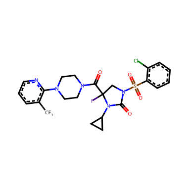 O=C1N(C2CC2)C(I)(C(=O)N2CCN(c3ncccc3C(F)(F)F)CC2)CN1S(=O)(=O)c1ccccc1Cl